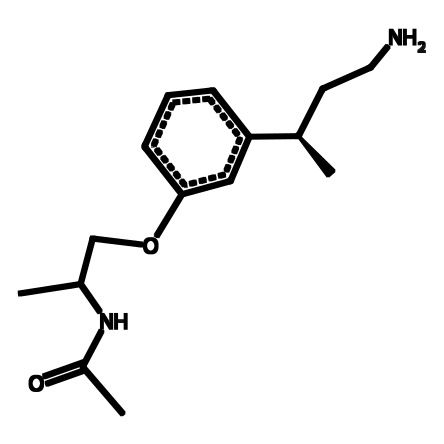 CC(=O)NC(C)COc1cccc([C@H](C)CCN)c1